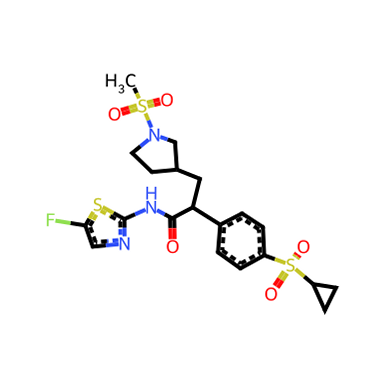 CS(=O)(=O)N1CCC(CC(C(=O)Nc2ncc(F)s2)c2ccc(S(=O)(=O)C3CC3)cc2)C1